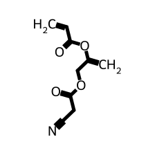 C=CC(=O)OC(=C)COC(=O)CC#N